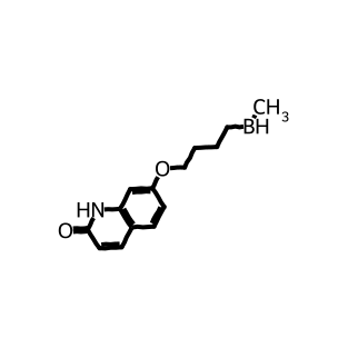 CBCCCCOc1ccc2ccc(=O)[nH]c2c1